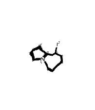 IC1CCCN2CCCC12